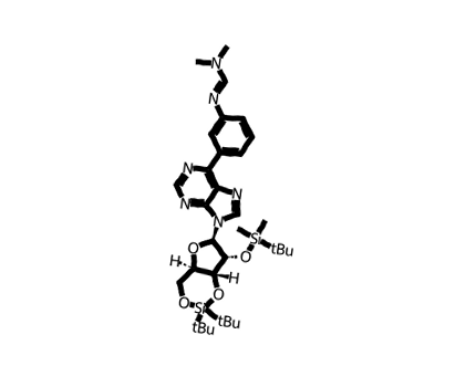 CN(C)/C=N/c1cccc(-c2ncnc3c2ncn3[C@@H]2O[C@@H]3CO[Si](C(C)(C)C)(C(C)(C)C)O[C@H]3[C@H]2O[Si](C)(C)C(C)(C)C)c1